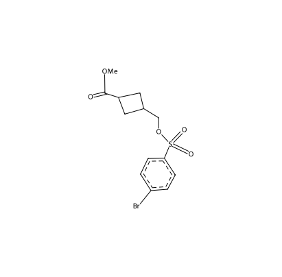 COC(=O)C1CC(COS(=O)(=O)c2ccc(Br)cc2)C1